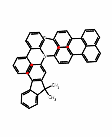 CC1(C)c2cc(N(c3ccc(-c4cccc5cccc(-c6ccc(F)cc6)c45)cc3)c3ccccc3C3=CC=CCC3)c#cc2-c2ccccc21